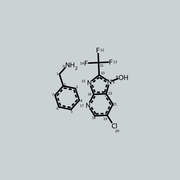 NCc1ccccc1.On1c(C(F)(F)F)nc2ncc(Cl)cc21